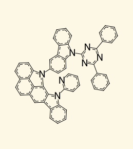 c1ccc(-c2nc(-c3ccccc3)nc(-n3c4ccccc4c4cc(-n5c6cccc7ccc8cc9c%10ccccc%10n(-c%10ccccn%10)c9c5c8c76)ccc43)n2)cc1